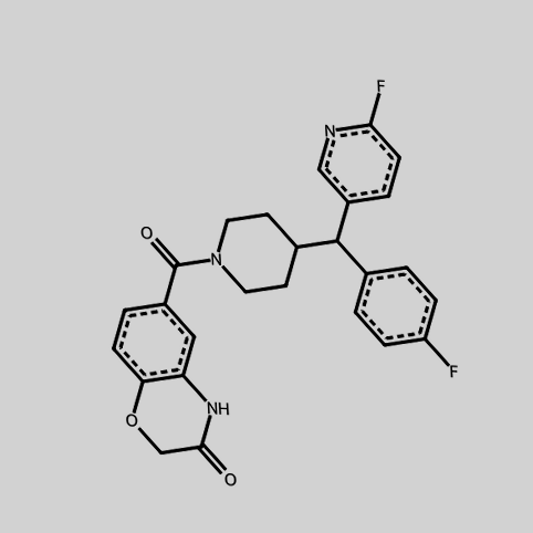 O=C1COc2ccc(C(=O)N3CCC(C(c4ccc(F)cc4)c4ccc(F)nc4)CC3)cc2N1